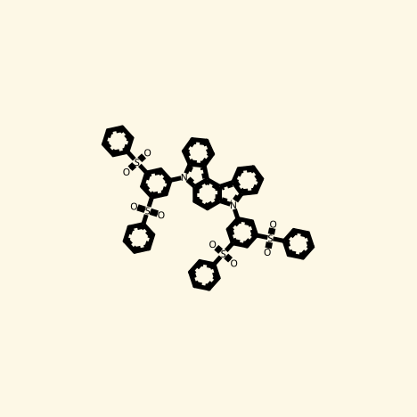 O=S(=O)(c1ccccc1)c1cc(-n2c3ccccc3c3c4c5ccccc5n(-c5cc(S(=O)(=O)c6ccccc6)cc(S(=O)(=O)c6ccccc6)c5)c4ccc32)cc(S(=O)(=O)c2ccccc2)c1